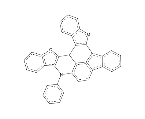 c1ccc(N2c3ccc4c5ccccc5n5c4c3C(c3oc4ccccc4c32)c2c-5oc3ccccc23)cc1